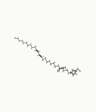 CCCCCCCCCCC#CC#CCCCCCCCCC(=O)NCCCn1cc[n+](CC)c1